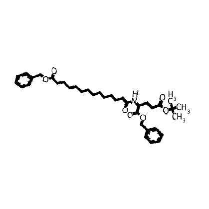 CC(C)(C)OC(=O)CCC(NC(=O)CCCCCCCCCCCCC(=O)OCc1ccccc1)C(=O)OCc1ccccc1